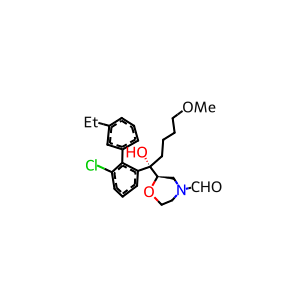 CCc1cccc(-c2c(Cl)cccc2[C@@](O)(CCCCOC)[C@H]2CN(C=O)CCO2)c1